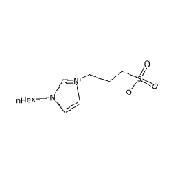 CCCCCCn1cc[n+](CCCS(=O)(=O)[O-])c1